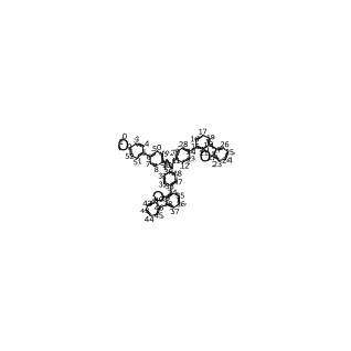 COc1ccc(-c2ccc(N(c3ccc(-c4cccc5c4oc4ccccc45)cc3)c3ccc(-c4cccc5c4oc4ccccc45)cc3)cc2)cc1